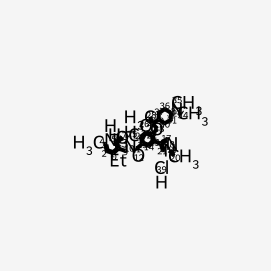 CCc1cc(C)[nH]c(=O)c1CNC(=O)c1cc(-c2cnn(C)c2)c2c(c1C)OC(C)(C1CCC(N(C)C)CC1)O2.Cl